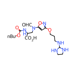 CCCCOC(=O)NC(CN(C=O)c1cc(OCCCNC2NCCN2)no1)C(=O)O